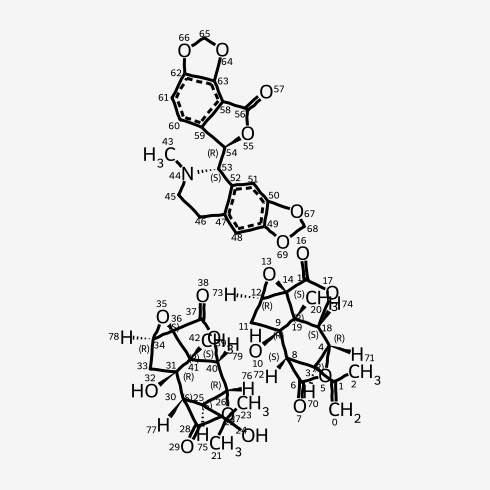 C=C(C)[C@@H]1[C@H]2OC(=O)[C@@H]1[C@]1(O)C[C@H]3O[C@]34C(=O)O[C@H]2[C@]14C.CC(C)(O)[C@@H]1[C@H]2OC(=O)[C@@H]1[C@]1(O)C[C@H]3O[C@]34C(=O)O[C@H]2[C@]14C.CN1CCc2cc3c(cc2[C@H]1[C@@H]1OC(=O)c2c1ccc1c2OCO1)OCO3